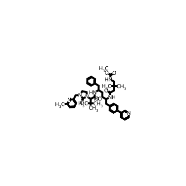 COC(=O)NCC(C)(C)CC(=O)NC(Cc1ccc(-c2cccnc2)cc1)C(O)CC(Cc1ccccc1)NC(=O)C(N1CCN(Cc2cccc(C)n2)C1=O)C(C)(C)C